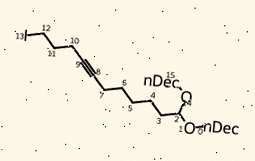 CCCCCCCCCCOC(CCCCCC#CCCCI)OCCCCCCCCCC